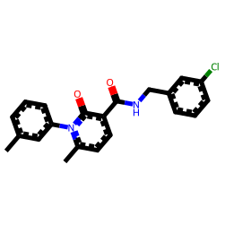 Cc1cccc(-n2c(C)ccc(C(=O)NCc3cccc(Cl)c3)c2=O)c1